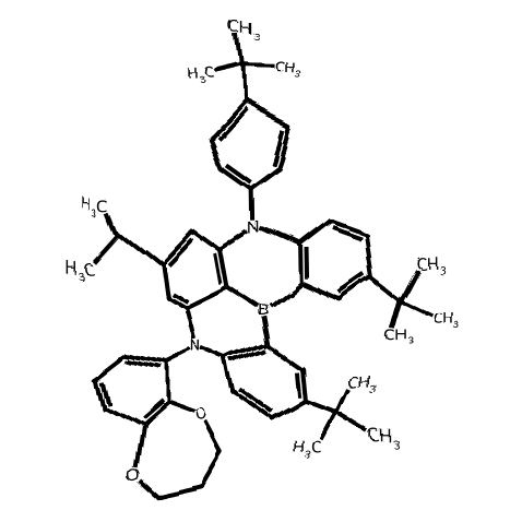 CC(C)c1cc2c3c(c1)N(c1cccc4c1OCCCO4)c1ccc(C(C)(C)C)cc1B3c1cc(C(C)(C)C)ccc1N2c1ccc(C(C)(C)C)cc1